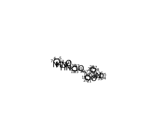 O=C(NCc1cccnc1)Nc1ccc(OCCc2ccccc2-c2ccccc2C(=O)N2CCCC2)cc1